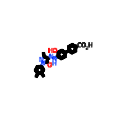 CC1=NN(c2ccc(C)c(C)c2)C(=O)/C1=N\Nc1ccc(-c2ccc(C(=O)O)cc2)cc1O